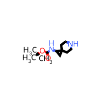 CC(C)(C)OC(=O)NC1CC12CCNCC2